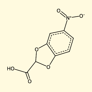 O=C(O)C1Oc2ccc([N+](=O)[O-])cc2O1